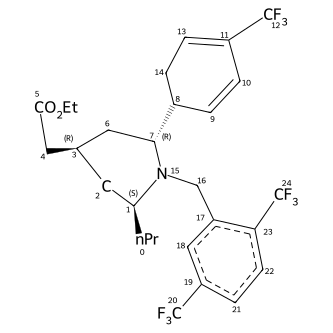 CCC[C@H]1C[C@@H](CC(=O)OCC)C[C@H](C2C=CC(C(F)(F)F)=CC2)N1Cc1cc(C(F)(F)F)ccc1C(F)(F)F